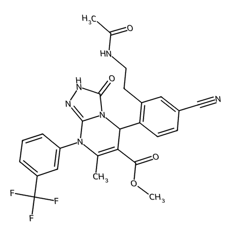 COC(=O)C1=C(C)N(c2cccc(C(F)(F)F)c2)c2n[nH]c(=O)n2C1c1ccc(C#N)cc1CCNC(C)=O